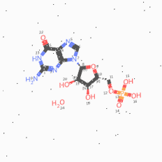 Nc1nc2c(ncn2[C@@H]2O[C@H](COP(=O)(O)O)[C@@H](O)[C@H]2O)c(=O)[nH]1.O